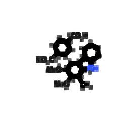 COc1cc2c([nH]c3ccccc32)c(C)c1OC.O=C(O)c1ccc(C(=O)O)cc1